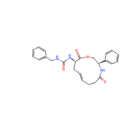 O=C1CC/C=C/C[C@@H](NC(=O)NCc2ccccc2)C(=O)OC[C@@H](c2ccccc2)N1